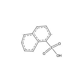 O=S(=O)(O)c1[c]ccc2[c]cccc12